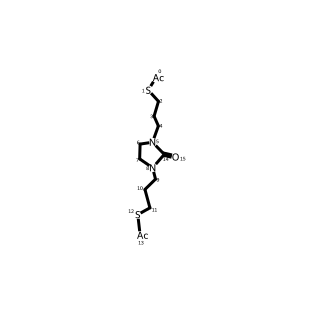 CC(=O)SCCCN1CCN(CCCSC(C)=O)C1=O